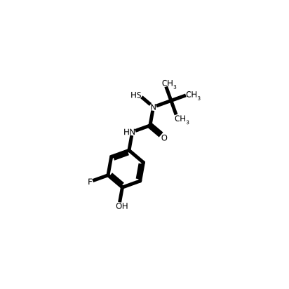 CC(C)(C)N(S)C(=O)Nc1ccc(O)c(F)c1